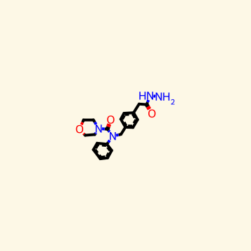 NNC(=O)Cc1ccc(CN(C(=O)N2CCOCC2)c2ccccc2)cc1